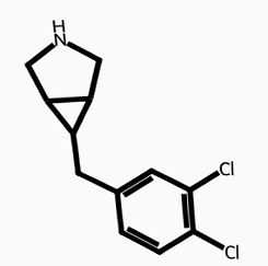 Clc1ccc(CC2C3CNCC32)cc1Cl